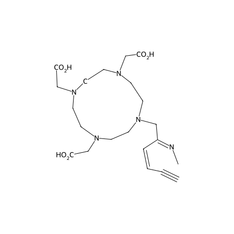 C#C/C=C\C(CN1CCN(CC(=O)O)CCN(CC(=O)O)CCN(CC(=O)O)CC1)=N/C